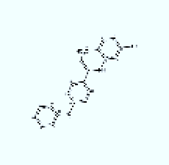 O=C(Nc1cc(F)ccc1C(=O)O)c1ccc(Oc2ccccc2)cc1